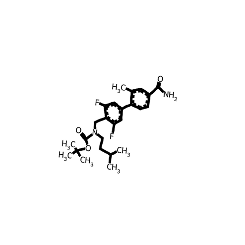 Cc1cc(C(N)=O)ccc1-c1cc(F)c(CN(CCC(C)C)C(=O)OC(C)(C)C)c(F)c1